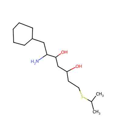 CC(C)SCCC(O)CC(O)C(N)CC1CCCCC1